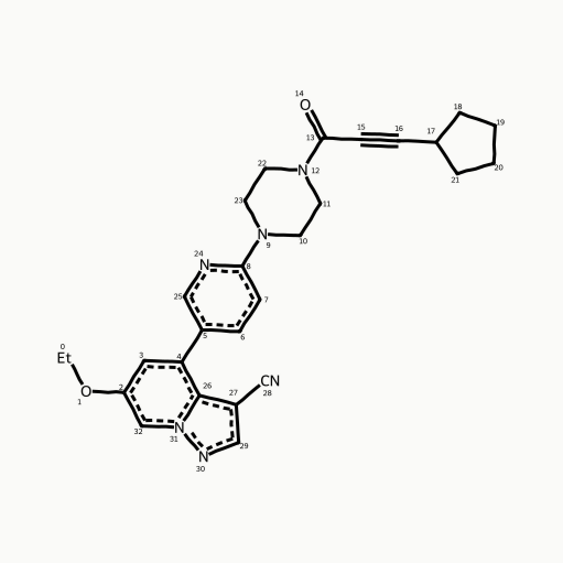 CCOc1cc(-c2ccc(N3CCN(C(=O)C#CC4CCCC4)CC3)nc2)c2c(C#N)cnn2c1